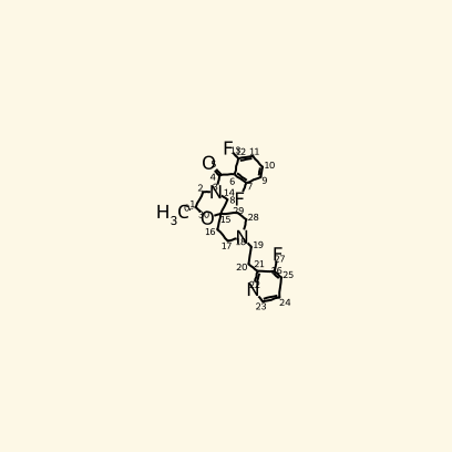 C[C@@H]1CN(C(=O)c2c(F)cccc2F)CC2(CCN(CCc3ncccc3F)CC2)O1